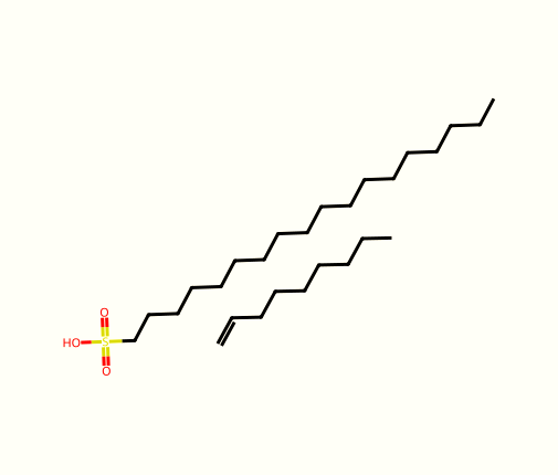 C=CCCCCCCC.CCCCCCCCCCCCCCCCCCS(=O)(=O)O